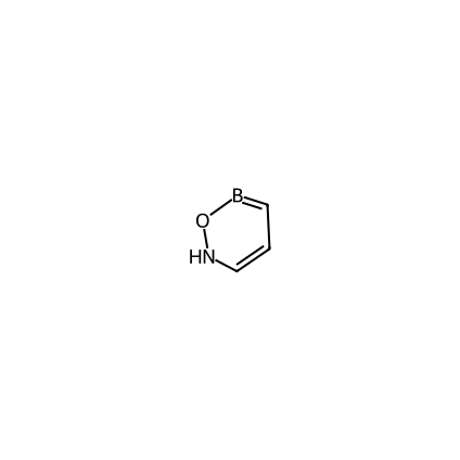 B1=CC=CNO1